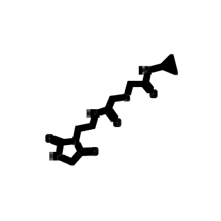 O=C(CSCC(=O)NC1CC1)NCCN1C(=O)CNC1=O